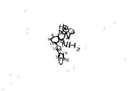 NC1=NS(=O)(=O)Nc2cccc(OCc3ccoc3)c21